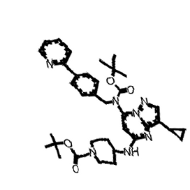 CC(C)(C)OC(=O)N1CCC(Nc2cc(N(Cc3ccc(-c4ccccn4)cc3)C(=O)OC(C)(C)C)n3ncc(C4CC4)c3n2)CC1